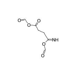 N=C(CCC(=O)OC=O)OC=O